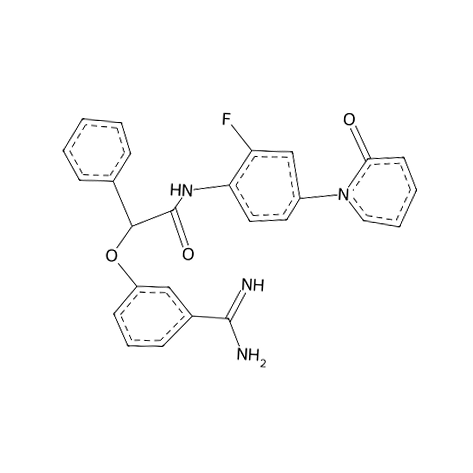 N=C(N)c1cccc(OC(C(=O)Nc2ccc(-n3ccccc3=O)cc2F)c2ccccc2)c1